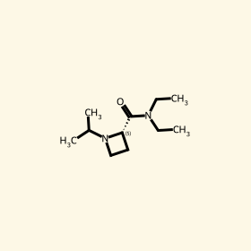 CCN(CC)C(=O)[C@@H]1CCN1C(C)C